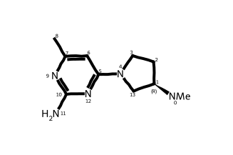 CN[C@@H]1CCN(c2cc(C)nc(N)n2)C1